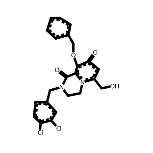 O=C1c2c(OCc3ccccc3)c(=O)cc(CO)n2CCN1Cc1ccc(Cl)c(Cl)c1